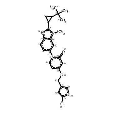 Cn1c(C2CC2C(C)(C)O)nc2ccc(-n3ccc(OCc4csc(Cl)c4)cc3=O)cc21